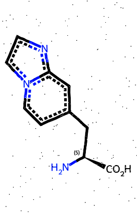 N[C@@H](Cc1ccn2ccnc2c1)C(=O)O